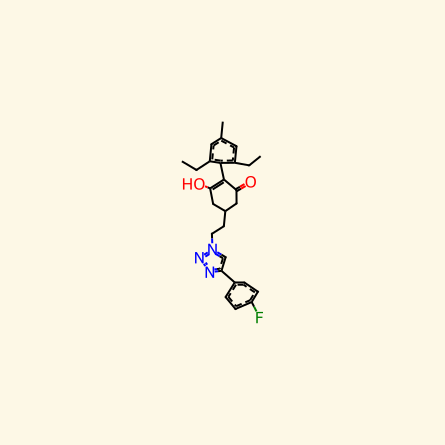 CCc1cc(C)cc(CC)c1C1=C(O)CC(CCn2cc(-c3ccc(F)cc3)nn2)CC1=O